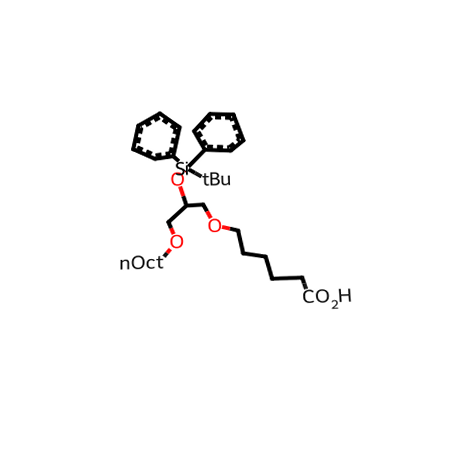 CCCCCCCCOCC(COCCCCCC(=O)O)O[Si](c1ccccc1)(c1ccccc1)C(C)(C)C